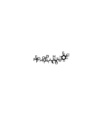 C=C(CCN1CC(COC(F)(F)F)OC1=O)NC(=O)COc1ccc(Cl)c(F)c1